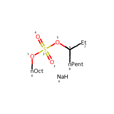 CCCCCCCCOS(=O)(=O)OC(CC)CCCCC.[NaH]